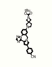 CC(C)(C)OC(=O)N1CC2(CCN(c3ccc4c(c3)Cn3cc(-c5ccc(C#N)cc5)cc3-c3ncnn3-4)C2)C1